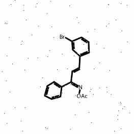 CC(=O)ON=C(C=Cc1cccc(Br)c1)c1ccccc1